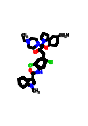 Cn1cc(C(=O)Nc2cc(Cl)c(CC(=O)C(O[C@H]3CC[C@H](C(=O)O)CC3)(N3CCCC3)N3CCN(CC(F)(F)F)CC3)cc2Cl)c2ccccc21